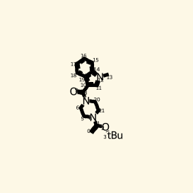 C=C(OC(C)(C)C)N1CCN(C(=O)c2cn(C)c3ccccc23)CC1